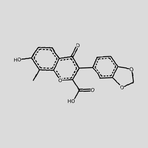 Cc1c(O)ccc2c(=O)c(-c3ccc4c(c3)OCO4)c(C(=O)O)oc12